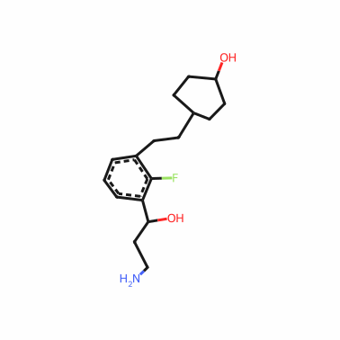 NCCC(O)c1cccc(CCC2CCC(O)CC2)c1F